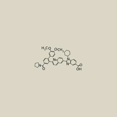 COc1ccc(-c2ccc(C(=O)N3CCCC3)cc2-c2ccc3cc(-c4nc5cc(C(=O)O)ccc5n4C4CCCCC4)ccc3n2)cc1OC